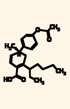 CCCCC(CC)C1=C(C(=O)O)C=C[C@](C)(c2ccc(OC(C)=O)cc2)C1